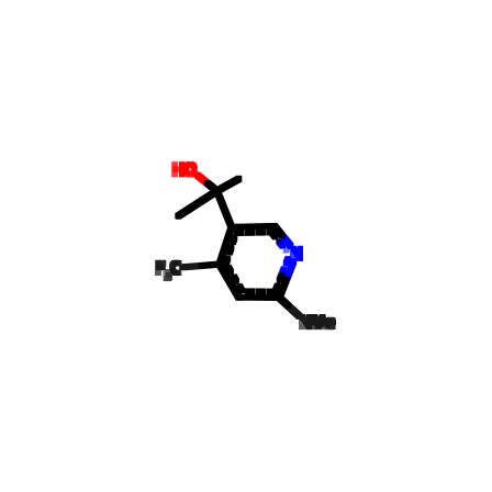 CNc1cc(C(F)(F)F)c(C(C)(C)O)cn1